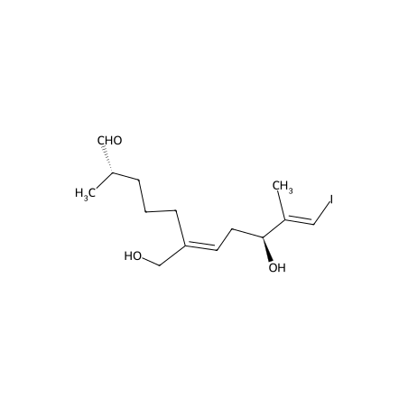 C/C(=C\I)[C@@H](O)C/C=C(/CO)CCC[C@H](C)C=O